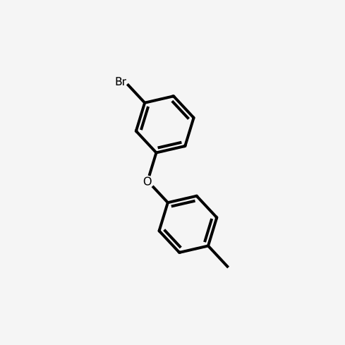 Cc1ccc(Oc2cccc(Br)c2)cc1